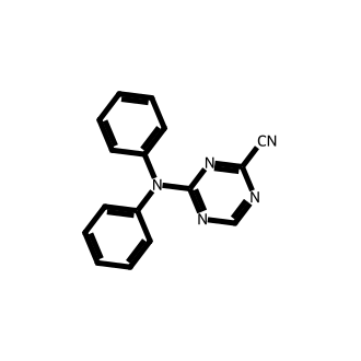 N#Cc1ncnc(N(c2ccccc2)c2ccccc2)n1